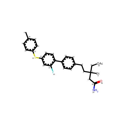 CCC(CCc1ccc(-c2ccc(Sc3ccc(C)cc3)cc2F)cc1)(COC(C)=O)CC(N)=O